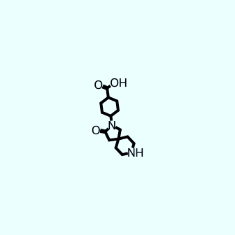 O=C(O)C1CCC(N2CC3(CCNCC3)CC2=O)CC1